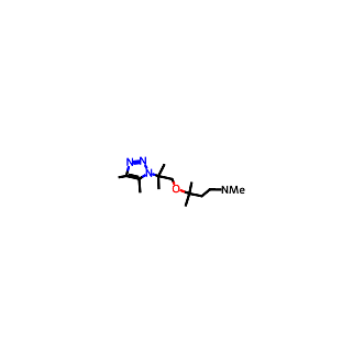 CNCCC(C)(C)OCC(C)(C)n1nnc(C)c1C